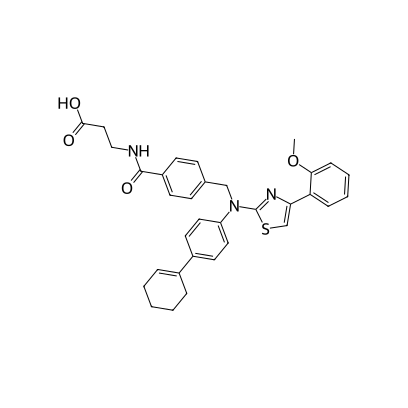 COc1ccccc1-c1csc(N(Cc2ccc(C(=O)NCCC(=O)O)cc2)c2ccc(C3=CCCCC3)cc2)n1